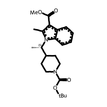 COC(=O)c1c(C)n([C@@H](C)C2CCN(C(=O)OC(C)(C)C)CC2)c2ccccc12